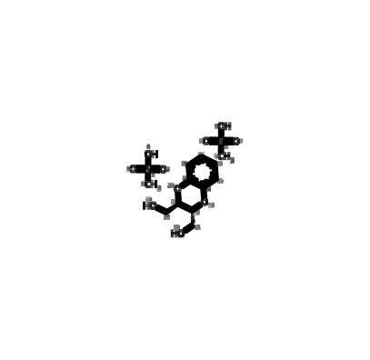 CS(=O)(=O)O.CS(=O)(=O)O.OC[C@H]1Oc2ccccc2O[C@@H]1CO